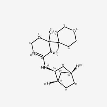 CC1(C2(F)CCOCC2)OCN=C(N[C@H]2C[C@@H]3CC[C@H]2C3)S1